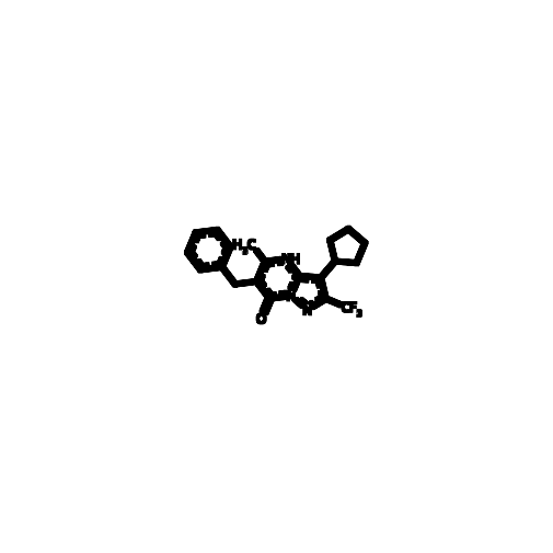 Cc1[nH]c2c(C3CCCC3)c(C(F)(F)F)nn2c(=O)c1Cc1ccccc1